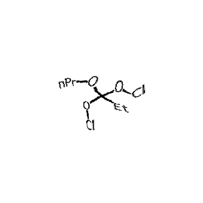 CCCOC(CC)(OCl)OCl